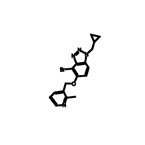 Cc1ncccc1COc1ccc2c(nnn2CC2CC2)c1Br